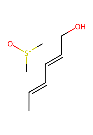 CC=CC=CCO.C[S+](C)[O-]